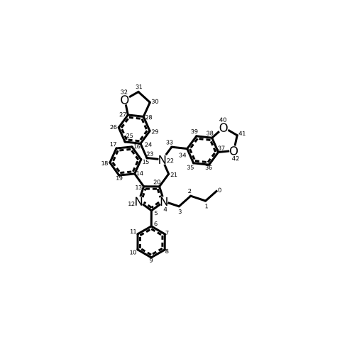 CCCCn1c(-c2ccccc2)nc(-c2ccccc2)c1CN(Cc1ccc2c(c1)CCO2)Cc1ccc2c(c1)OCO2